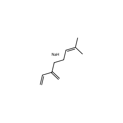 C=CC(=C)CCC=C(C)C.[NaH]